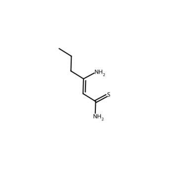 CCCC(N)=CC(N)=S